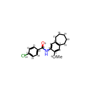 COc1cc2c(cc1NC(=O)c1ccc(Cl)cc1)CCCCC2